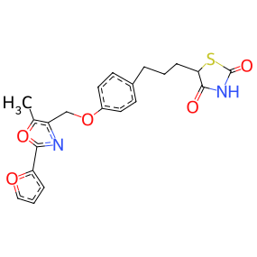 Cc1oc(-c2ccco2)nc1COc1ccc(CCCC2SC(=O)NC2=O)cc1